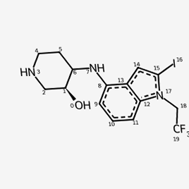 O[C@H]1CNCCC1Nc1cccc2c1cc(I)n2CC(F)(F)F